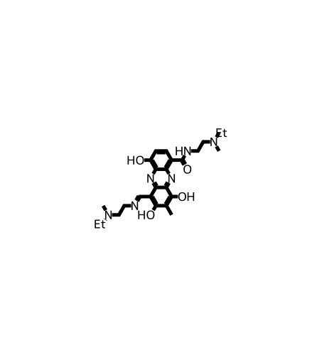 CCN(C)CCN=Cc1c(O)c(C)c(O)c2nc3c(C(=O)NCCN(C)CC)ccc(O)c3nc12